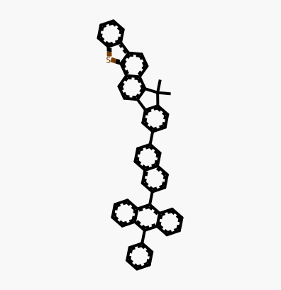 CC1(C)c2ccc(-c3ccc4cc(-c5c6ccccc6c(-c6ccccc6)c6ccccc56)ccc4c3)cc2-c2ccc3c(ccc4c5ccccc5sc34)c21